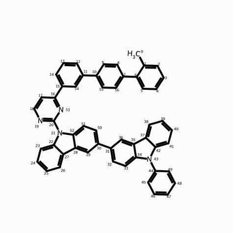 Cc1ccccc1-c1ccc(-c2cccc(-c3ccnc(-n4c5ccccc5c5cc(-c6ccc7c(c6)c6ccccc6n7-c6ccccc6)ccc54)n3)c2)cc1